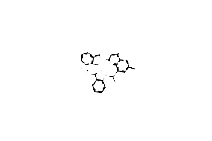 Cc1cc(C(C)Nc2ccccc2C(=O)OC(C)(C)C)c2sc(N3Cc4ccccc4C3)cc(=O)c2c1